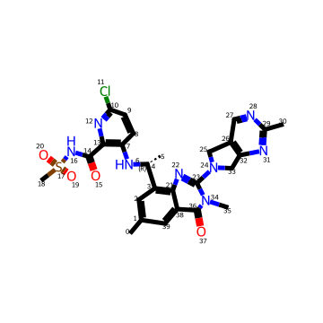 Cc1cc([C@@H](C)Nc2ccc(Cl)nc2C(=O)NS(C)(=O)=O)c2nc(N3Cc4cnc(C)nc4C3)n(C)c(=O)c2c1